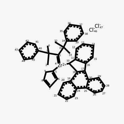 CC(C)([C](=[Zr+2]([C]1=CC=CC1)[CH]1c2ccccc2-c2c1c1ccccc1c1ccccc21)C(C)(C)c1ccccc1)c1ccccc1.[Cl-].[Cl-]